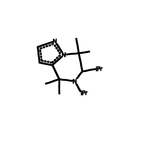 CC(C)C1N(C(C)C)C(C)(C)c2ccnn2C1(C)C